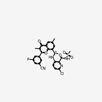 Cc1cc([C@@H](C)Nc2ccc(Cl)nc2C(=O)NS(C)(=O)=O)c2oc(-c3cc(F)cc(C#N)c3)c(C)c(=O)c2c1